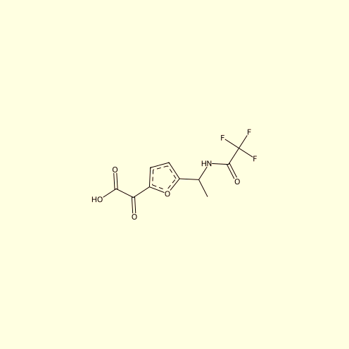 CC(NC(=O)C(F)(F)F)c1ccc(C(=O)C(=O)O)o1